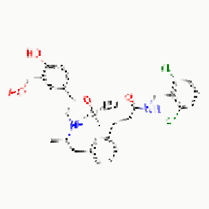 C[C@H](Cc1cccc(CCC(=O)NCc2c(Cl)cccc2Cl)c1)NC[C@@H](O[Si](C)(C)C(C)(C)C)c1ccc(O)c(CO)c1